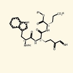 CC(=O)N[C@@H](Cc1c[nH]c2ccccc12)C(=O)N[C@@H](CCC(=O)C=N)C(=O)N[C@@H](CCC(=O)O)C(=O)OC(C)C